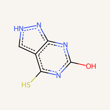 Oc1nc(S)c2c[nH]nc2n1